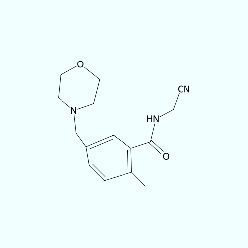 Cc1ccc(CN2CCOCC2)cc1C(=O)NCC#N